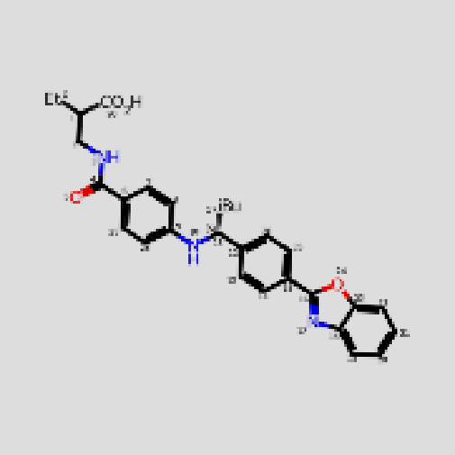 CCC(CNC(=O)c1ccc(N[C@H](c2ccc(-c3nc4ccccc4o3)cc2)C(C)CC)cc1)C(=O)O